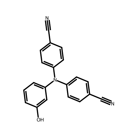 N#Cc1ccc(N(c2ccc(C#N)cc2)c2cccc(O)c2)cc1